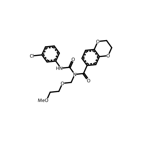 COCCOCN(C(=O)Nc1cccc(Cl)c1)C(=O)c1ccc2c(c1)OCCO2